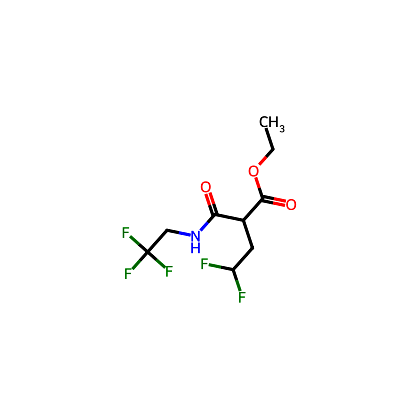 CCOC(=O)C(CC(F)F)C(=O)NCC(F)(F)F